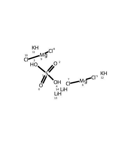 O=S(=O)(O)O.[Cl][Mg][Cl].[Cl][Mg][Cl].[KH].[KH].[LiH].[LiH]